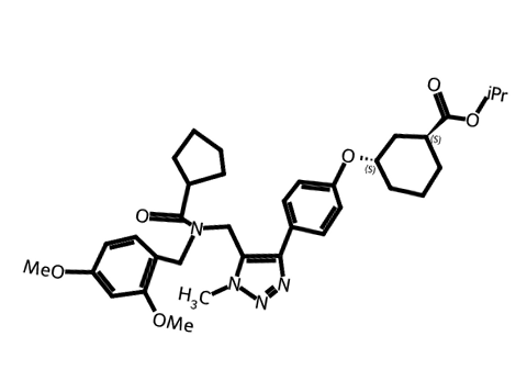 COc1ccc(CN(Cc2c(-c3ccc(O[C@H]4CCC[C@H](C(=O)OC(C)C)C4)cc3)nnn2C)C(=O)C2CCCC2)c(OC)c1